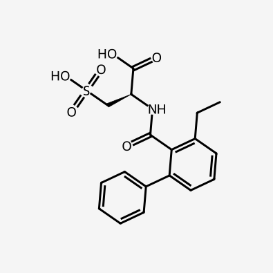 CCc1cccc(-c2ccccc2)c1C(=O)N[C@@H](CS(=O)(=O)O)C(=O)O